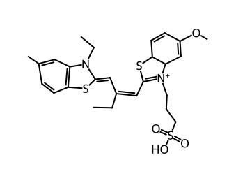 CCC(=CC1=[N+](CCCS(=O)(=O)O)C2C=C(OC)C=CC2S1)C=C1Sc2ccc(C)cc2N1CC